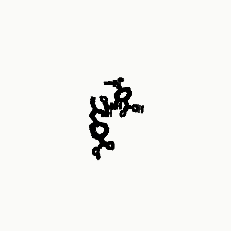 CCC(Cc1ccc(C(=O)OC)cc1)NC(=O)Nc1cc(N(C)C)ccc1C(=O)O